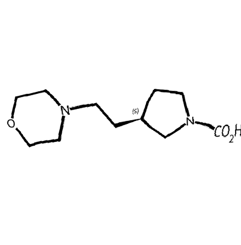 O=C(O)N1CC[C@H](CCN2CCOCC2)C1